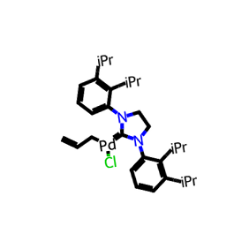 C=C[CH2][Pd]([Cl])=[C]1N(c2cccc(C(C)C)c2C(C)C)CCN1c1cccc(C(C)C)c1C(C)C